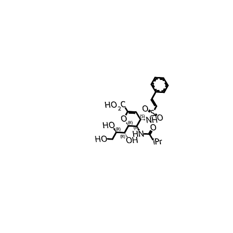 CC(C)C(=O)N[C@H]1[C@H]([C@H](O)[C@H](O)CO)OC(C(=O)O)=C[C@@H]1NS(=O)(=O)C=Cc1ccccc1